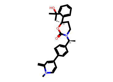 C=C1C=C(c2ccc([C@H](C)N3CC[C@](CC(C)(C)O)(c4ccccc4)OC3=O)cc2)C=CN1C